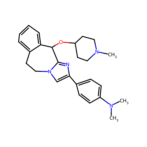 CN1CCC(OC2c3ccccc3CCn3cc(-c4ccc(N(C)C)cc4)nc32)CC1